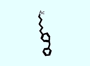 CC(=O)CCCCCc1ccc(Cc2ccccc2)cc1